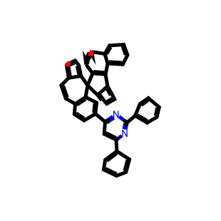 C1=Cc2ccc(-c3cc(-c4ccccc4)nc(-c4ccccc4)n3)cc2C2(c3ccccc31)c1ccccc1-c1c2c2ccccc2c2ccccc12